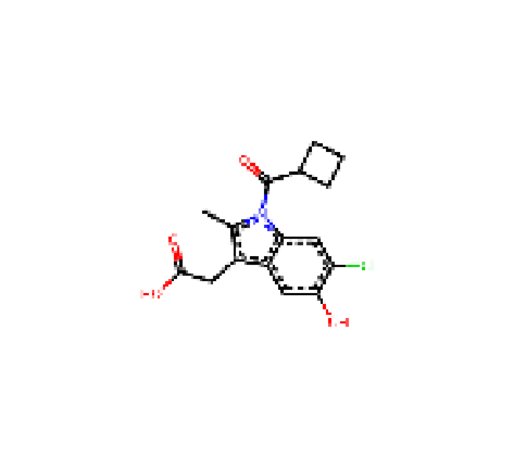 Cc1c(CC(=O)O)c2cc(O)c(Cl)cc2n1C(=O)C1CCC1